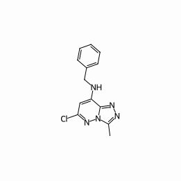 Cc1nnc2c(NCc3ccccc3)cc(Cl)nn12